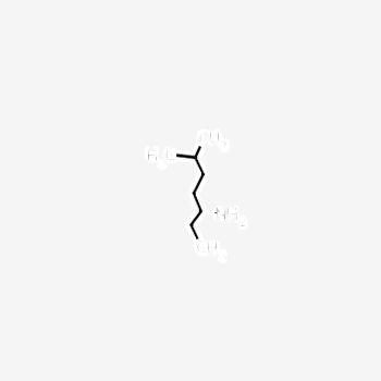 CC[C@@H](N)CCC(C)C